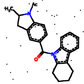 CC(=O)N1c2ccc(C(=O)n3c4c(c5ccccc53)CCCC4)cc2CC1C